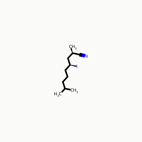 CC(C)CCC[C@H](I)C[C@@H](C)C#N